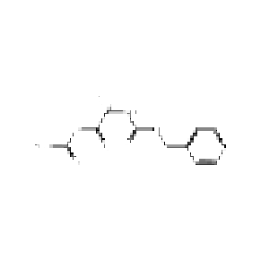 C[C@H](NC(=O)OCc1ccccc1)C(=O)OC(=O)C(C)(C)C